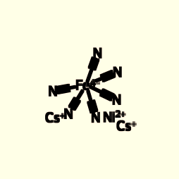 N#[C][Fe-4]([C]#N)([C]#N)([C]#N)([C]#N)[C]#N.[Cs+].[Cs+].[Ni+2]